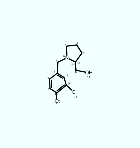 CCc1ccc(CN2CCC[C@H]2CO)cc1Cl